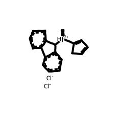 [CH2]=[Hf+2]([C]1=CC=CC1)[CH]1c2ccccc2-c2ccccc21.[Cl-].[Cl-]